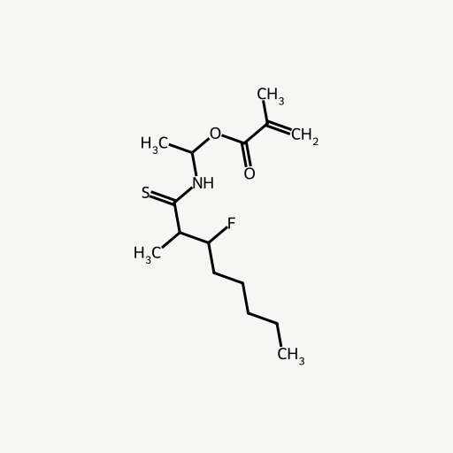 C=C(C)C(=O)OC(C)NC(=S)C(C)C(F)CCCCC